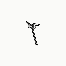 CCCCCCCCCC[Si](CC)(OCCC)OCCC